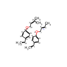 C=Cc1ccc(OC/C=C/C)cc1.C=Cc1ccc(OCC=C(C)C)cc1